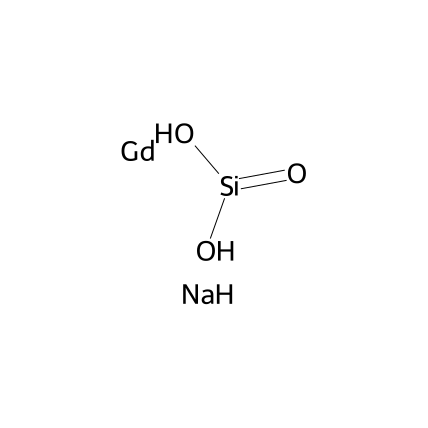 O=[Si](O)O.[Gd].[NaH]